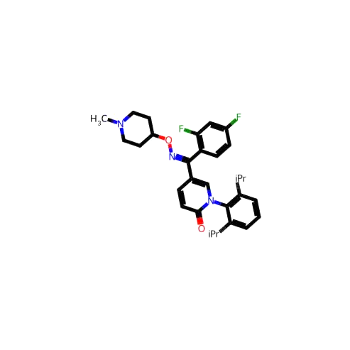 CC(C)c1cccc(C(C)C)c1-n1cc(/C(=N/OC2CCN(C)CC2)c2ccc(F)cc2F)ccc1=O